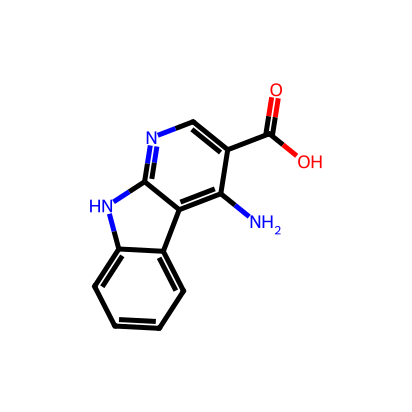 Nc1c(C(=O)O)cnc2[nH]c3ccccc3c12